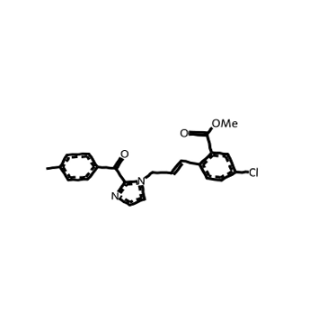 COC(=O)c1cc(Cl)ccc1C=CCn1ccnc1C(=O)c1ccc(C)cc1